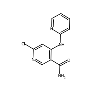 NC(=O)c1cnc(Cl)cc1Nc1ccccn1